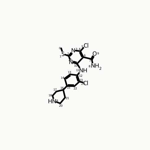 CSc1nc(Cl)c(C(N)=O)c(Nc2ccc(C3CCNCC3)cc2Cl)n1